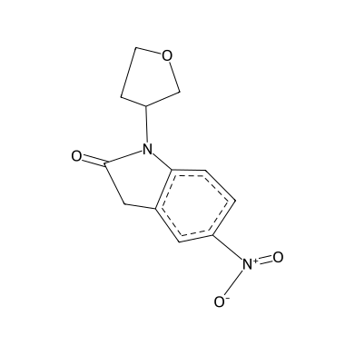 O=C1Cc2cc([N+](=O)[O-])ccc2N1C1CCOC1